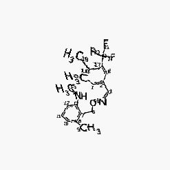 C/C=C(/C=N\OCc1c(C)cccc1NC)\C=C(/CC)C(F)(F)F